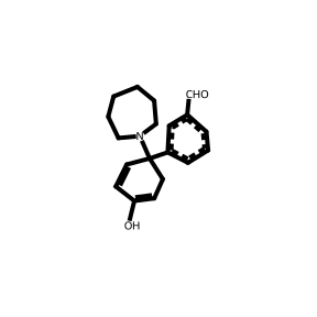 O=Cc1cccc(C2(N3CCCCCC3)C=CC(O)=CC2)c1